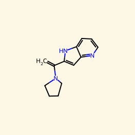 C=C(c1cc2ncccc2[nH]1)N1CCCC1